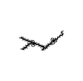 CC/C=C\CCCCCOC(=O)OCCCCCCN(CC)CCCCCCCC(=O)OC(CCCCCCCC)CCCCCCCC